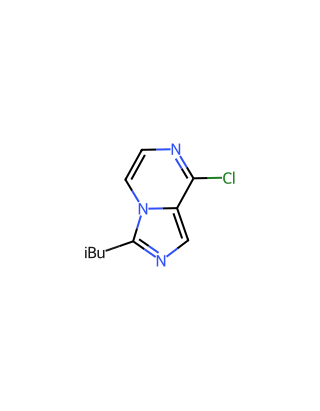 CCC(C)c1ncc2c(Cl)nccn12